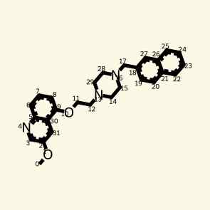 COc1cnc2cccc(OCCN3CCN(Cc4ccc5ccccc5c4)CC3)c2c1